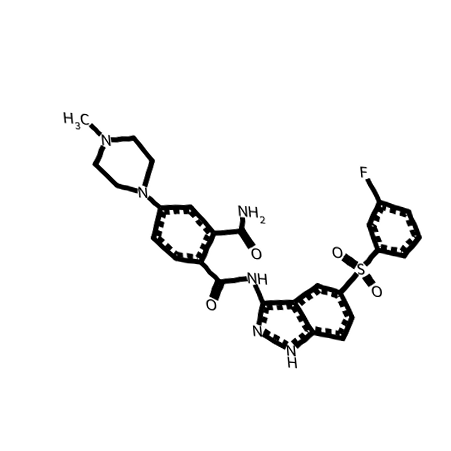 CN1CCN(c2ccc(C(=O)Nc3n[nH]c4ccc(S(=O)(=O)c5cccc(F)c5)cc34)c(C(N)=O)c2)CC1